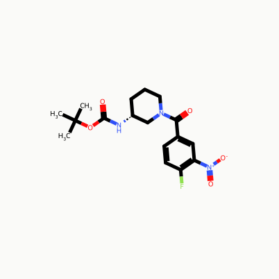 CC(C)(C)OC(=O)N[C@@H]1CCCN(C(=O)c2ccc(F)c([N+](=O)[O-])c2)C1